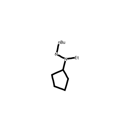 CCCC[N]N(CC)C1CCCC1